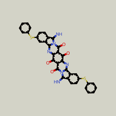 N=c1c2ccc(Sc3ccccc3)cc2c2nc3c(=O)c4c(=O)n5c(=N)c6ccc(Sc7ccccc7)cc6c5nc4c(=O)c3c(=O)n12